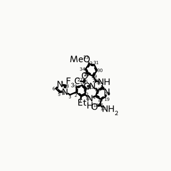 CCc1c(Cn2ccnc2)cccc1Nc1c(C(N)=O)cnc2c1N(OC(=O)C(F)(F)F)C(c1ccc(OC)cc1)N2